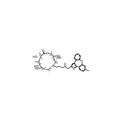 Cc1ccc2c(c1)Sc1ccccc1-c1cc(CNCCCN3C[C@H](C)C[C@@](C)(O)[C@H](O)[C@@H](C)[C@H](O)[C@@H](C)C(=O)O[C@H](I)[C@@](C)(O)[C@H](O)[C@H]3C)sc1-2